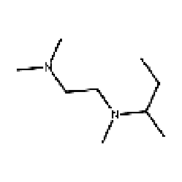 CCC(C)N(C)CCN(C)C